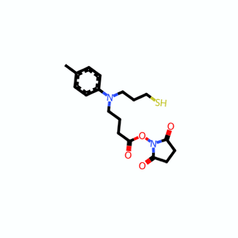 Cc1ccc(N(CCCS)CCCC(=O)ON2C(=O)CCC2=O)cc1